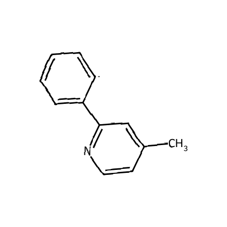 Cc1ccnc(-c2[c]cccc2)c1